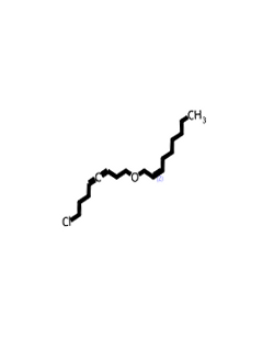 CCCCCC/C=C\COCCC=C=CCCCCl